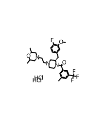 COc1cc(C[C@@H]2CN(CCN3CC(C)OC(C)C3)CCN2C(=O)c2cc(C)cc(C(F)(F)F)c2)ccc1F.Cl.Cl